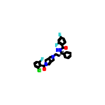 O=C(N[C@@H](CCN1CC2=CN(C(=O)c3c(F)cccc3Cl)CC2C1)c1ccccc1)c1ccc(F)cc1F